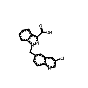 O=C(O)c1nn(Cc2ccc3ncc(Cl)cc3c2)c2ccccc12